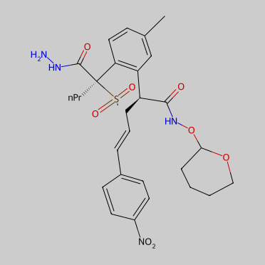 CCC[C@](C(=O)NN)(c1ccc(C)cc1[C@H](C/C=C/c1ccc([N+](=O)[O-])cc1)C(=O)NOC1CCCCO1)S(C)(=O)=O